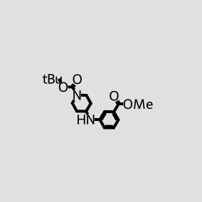 COC(=O)c1cccc(NC2CCN(C(=O)OC(C)(C)C)CC2)c1